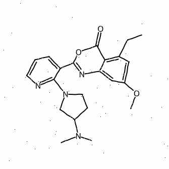 CCc1cc(OC)cc2nc(-c3cccnc3N3CCC(N(C)C)C3)oc(=O)c12